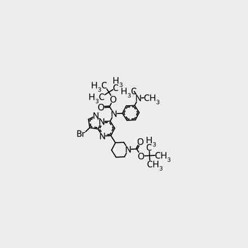 CN(C)c1cccc(N(C(=O)OC(C)(C)C)c2cc(C3CCCN(C(=O)OC(C)(C)C)C3)nc3c(Br)cnn23)c1